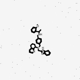 COc1ccccc1C(C)NCc1ccc(CN(Cc2nc3ccccc3[nH]2)C2CCCc3cccnc32)cc1